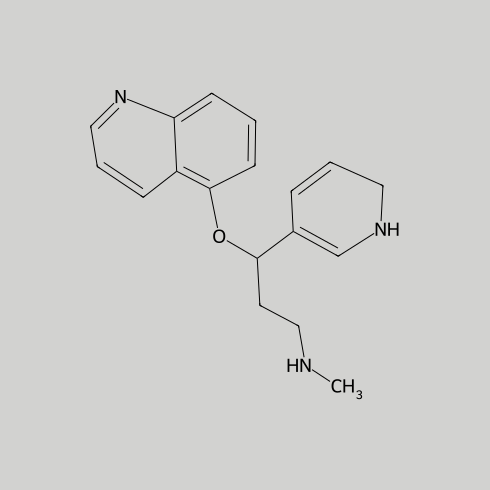 CNCCC(Oc1cccc2ncccc12)C1=CNCC=C1